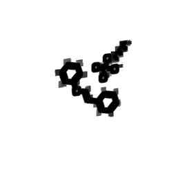 C(=Cc1ccccc1)Oc1ccccc1.O=P([O-])([O-])[O-].[K+].[K+].[K+]